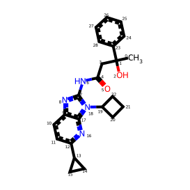 CC(O)(CC(=O)Nc1nc2ccc(C3CC3)nc2n1C1CCC1)c1ccccc1